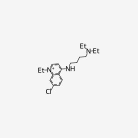 CCN(CC)CCCCNc1cc[n+](CC)c2cc(Cl)ccc12